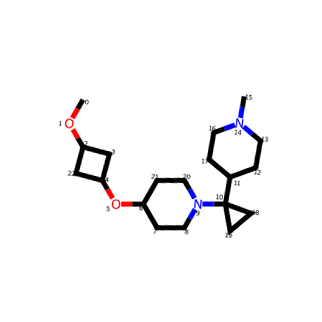 COC1CC(OC2CCN(C3(C4CCN(C)CC4)CC3)CC2)C1